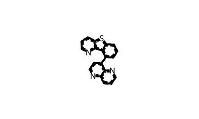 c1cnc2c(-c3cccc4sc5cccnc5c34)ccnc2c1